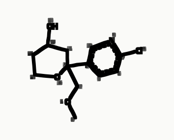 COCC1(c2ccc(Cl)nc2)CC(O)CCO1